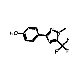 Cn1nc(-c2ccc(O)cc2)nc1C(F)(F)F